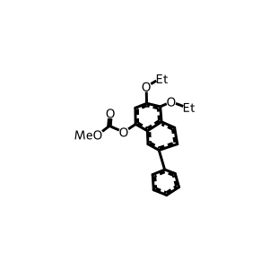 CCOc1cc(OC(=O)OC)c2cc(-c3ccccc3)ccc2c1OCC